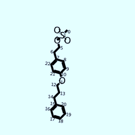 CS(=O)(=O)OCCc1ccc(OCCCc2ccccc2)cc1